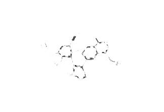 C#Cc1cc(OC2CC2)c(C#N)c(-c2c(-c3ccc4c(=O)[nH]nc(CN)c4c3)cnn2C)c1F